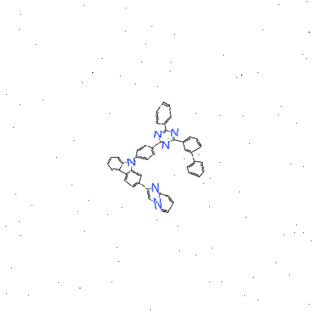 c1ccc(-c2cccc(-c3nc(-c4ccccc4)nc(-c4ccc(-n5c6ccccc6c6ccc(-c7cn8ccccc8n7)cc65)cc4)n3)c2)cc1